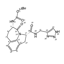 CC(C)(C)OC(=O)N[C@H]1CCc2cccc3c2N(C1=O)[C@H](C(=O)NCc1c[nH]nn1)C3